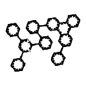 c1ccc(-c2ccc3c4ccccc4c4ccc(-c5ccccc5-c5ccccc5-c5nc(-c6ccccc6)cc(-c6ccccc6)n5)cc4c3c2)cc1